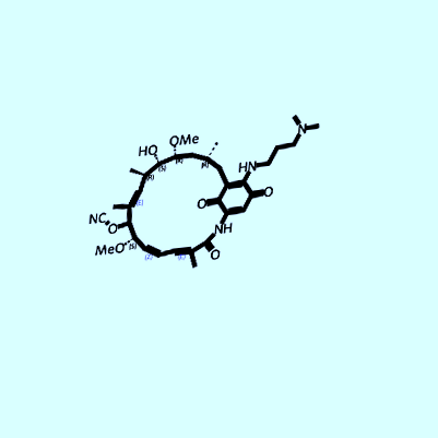 CO[C@H]1/C=C\C=C(/C)C(=O)NC2=CC(=O)C(NCCCN(C)C)=C(C[C@@H](C)C[C@@H](OC)[C@@H](O)[C@H](C)/C=C(\C)C1OC#N)C2=O